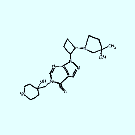 CC1(O)CCN([C@@H]2CCC2n2ncc3c(=O)n(CC4(O)CCNCC4)cnc32)C1